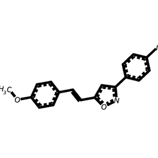 COc1ccc(/C=C/c2cc(-c3ccc(I)cc3)no2)cc1